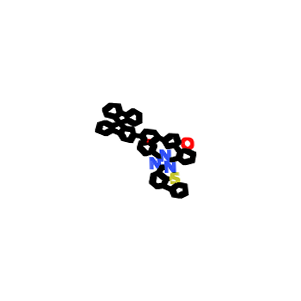 c1ccc(-c2nc(-c3cccc4c3sc3ccccc34)nc(-c3cccc4oc5ccc(-c6ccc(-c7ccc8c(c7)C7(c9ccccc9-c9ccccc97)c7ccccc7-8)cc6)cc5c34)n2)cc1